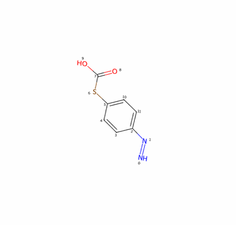 N=Nc1ccc(SC(=O)O)cc1